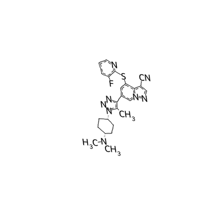 Cc1c(-c2cc(Sc3ncccc3F)c3c(C#N)cnn3c2)nnn1[C@H]1CC[C@@H](N(C)C)CC1